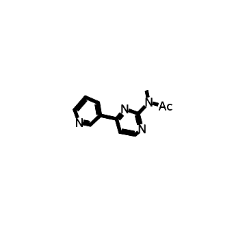 CC(=O)N(C)c1nccc(-c2cccnc2)n1